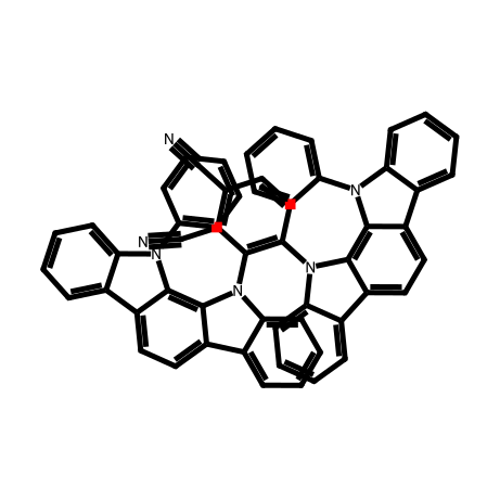 N#Cc1ccc(-n2c3ccccc3c3ccc4c5ccccc5n(-c5ccccc5)c4c32)c(-n2c3ccccc3c3ccc4c5ccccc5n(-c5ccccc5)c4c32)c1C#N